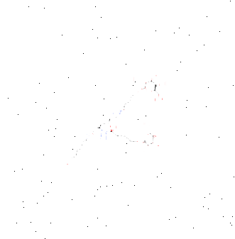 COCCCCCCNC(=O)C[C@H](CCCCNC(=O)CCCCO[C@@H]1OC(CO)[C@@H](O)[C@H](O)C1O)NC(=O)CCCCO[C@@H]1OC(CO)[C@@H](O)[C@H](O)C1O